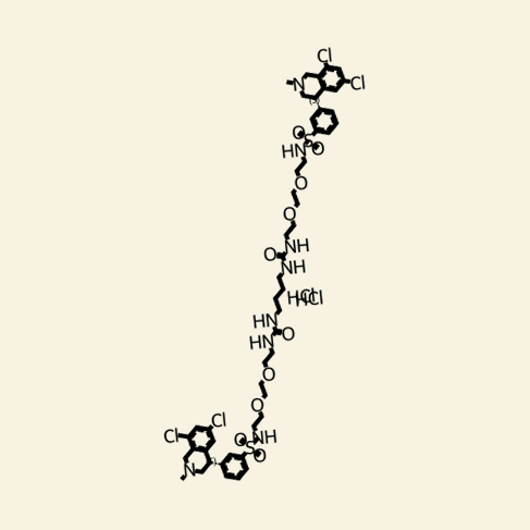 CN1Cc2c(Cl)cc(Cl)cc2[C@H](c2cccc(S(=O)(=O)NCCOCCOCCNC(=O)NCCCCNC(=O)NCCOCCOCCNS(=O)(=O)c3cccc([C@@H]4CN(C)Cc5c(Cl)cc(Cl)cc54)c3)c2)C1.Cl.Cl